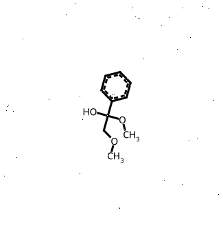 COCC(O)(OC)c1ccccc1